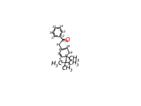 CC(C)(C)C1(C)C=CC(CC(=O)c2ccccc2)=CC1